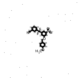 COc1ccc(COc2cc([N+](=O)[O-])cc(C(F)(F)c3cccc(C#N)c3)c2)cc1